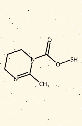 CC1=NCCCN1C(=O)OS